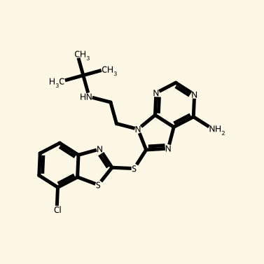 CC(C)(C)NCCn1c(Sc2nc3cccc(Cl)c3s2)nc2c(N)ncnc21